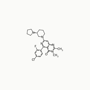 Cc1nc2cc(N3CCC[C@H](N4CCCC4)C3)nc(-c3ccc(Cl)cc3F)c2c(=O)n1C